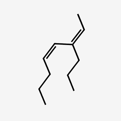 C/C=C(\C=C/CCC)CCC